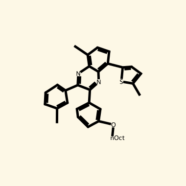 CCCCCCCCOc1cccc(-c2nc3c(-c4ccc(C)s4)ccc(C)c3nc2-c2cccc(C)c2)c1